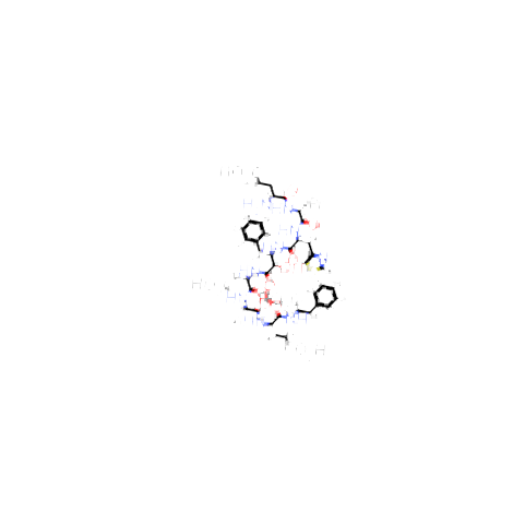 CC(C)[C@H](NC(=O)[C@@H](N)CCC(=O)O)C(=O)N[C@@H](Cc1cscn1)C(=O)N[C@@H](Cc1ccccc1)[C@@H](O)C(=O)N[C@@H](CC(=O)O)C(=O)N[C@@H](C)C(=O)N[C@@H](CCC(=O)O)C(=O)N[C@@H](Cc1ccccc1)C(=O)O